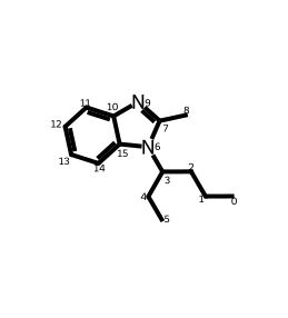 CCCC(CC)n1c(C)nc2ccccc21